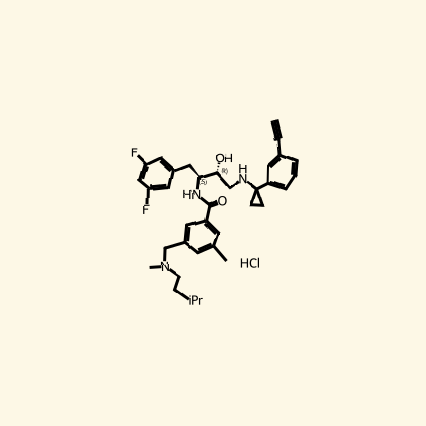 C#Cc1cccc(C2(NC[C@@H](O)[C@H](Cc3cc(F)cc(F)c3)NC(=O)c3cc(C)cc(CN(C)CCC(C)C)c3)CC2)c1.Cl